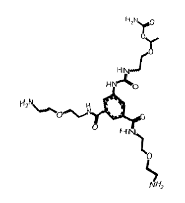 CC(OCCNC(=O)Nc1cc(C(=O)NCCOCCN)cc(C(=O)NCCOCCN)c1)OC(N)=O